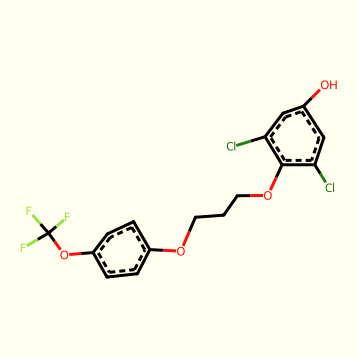 Oc1cc(Cl)c(OCCCOc2ccc(OC(F)(F)F)cc2)c(Cl)c1